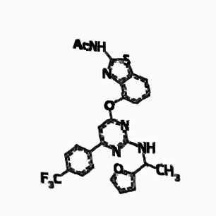 CC(=O)Nc1nc2c(Oc3cc(-c4ccc(C(F)(F)F)cc4)nc(NC(C)c4ccco4)n3)cccc2s1